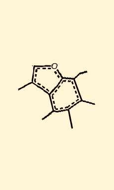 Cc1c(C)c(C)c2c(C)[c]oc2c1C